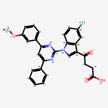 COc1cccc(-c2cc(-c3ccccc3)nc(-n3cc(C(=O)CCC(=O)O)c4cc(Cl)ccc43)n2)c1